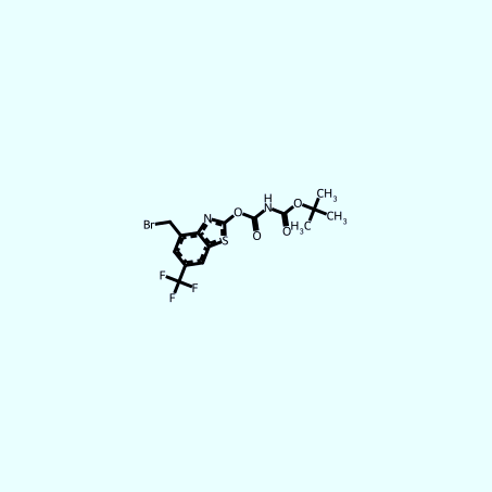 CC(C)(C)OC(=O)NC(=O)Oc1nc2c(CBr)cc(C(F)(F)F)cc2s1